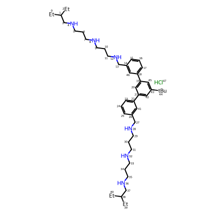 CCC(CC)CNCCCNCCCNCc1cccc(-c2cc(-c3cccc(CNCCCNCCCNCC(CC)CC)c3)cc(C(C)(C)C)c2)c1.Cl